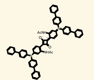 CC(=O)NC1=CC(=[N+](c2ccc(-c3ccccc3)cc2)c2ccc(-c3ccccc3)cc2)C=C/C1=C1\C(=O)C(c2ccc(N(c3ccc(-c4ccccc4)cc3)c3ccc(-c4ccccc4)cc3)cc2NC(C)=O)=C1[O-]